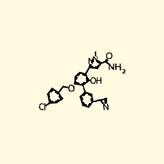 Cn1nc(-c2ccc(OCc3ccc(Cl)cc3)c(-c3cccc(C4C=N4)c3)c2O)cc1C(N)=O